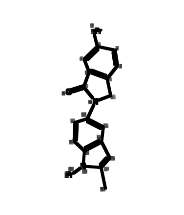 CCCc1ccc2c(c1)C(=O)N(c1ccc3c(c1)cc(C)n3C(C)C)C2